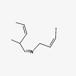 C/C=C\C/N=C\C(C)/C=C\C